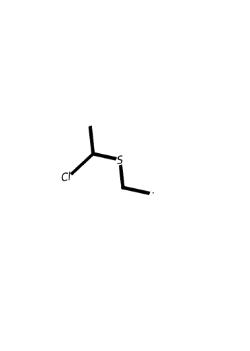 [CH2]CSC(C)Cl